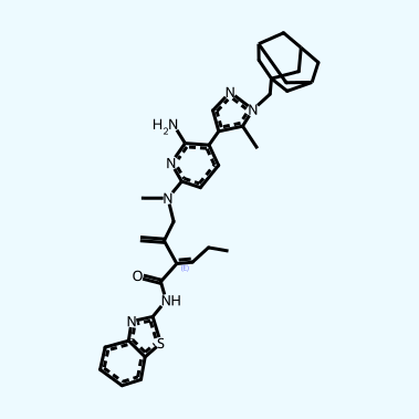 C=C(CN(C)c1ccc(-c2cnn(CC34CC5CC(CC(C5)C3)C4)c2C)c(N)n1)/C(=C\CC)C(=O)Nc1nc2ccccc2s1